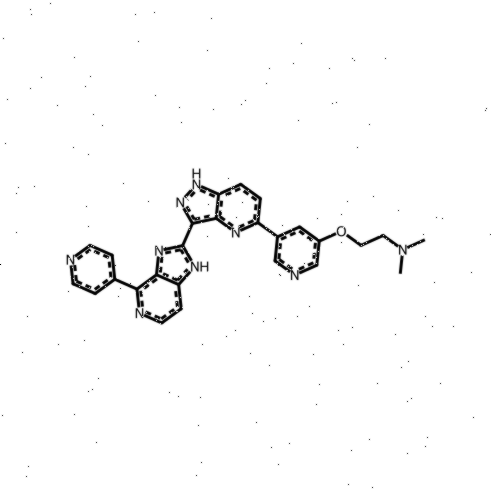 CN(C)CCOc1cncc(-c2ccc3[nH]nc(-c4nc5c(-c6ccncc6)nccc5[nH]4)c3n2)c1